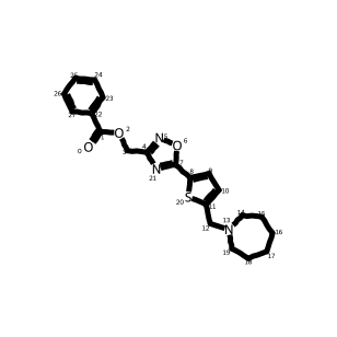 O=C(OCc1noc(-c2ccc(CN3CCCCCC3)s2)n1)c1ccccc1